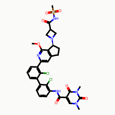 COc1nc(-c2cccc(-c3cccc(NC(=O)c4cn(C)c(=O)n(C)c4=O)c3Cl)c2Cl)cc2c1[C@@H](N1CC(C(=O)NS(C)(=O)=O)C1)CC2